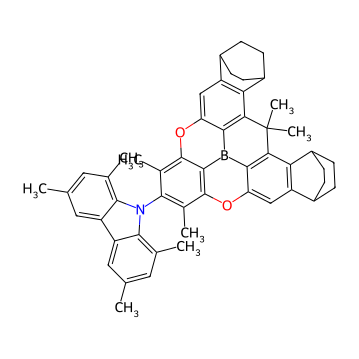 Cc1cc(C)c2c(c1)c1cc(C)cc(C)c1n2-c1c(C)c2c3c(c1C)Oc1cc4c(c5c1B3c1c(cc3c(c1C5(C)C)C1CCC3CC1)O2)C1CCC4CC1